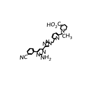 CC(c1cccc(Cn2cc(-c3cc(-c4cccc(C#N)c4)nc(N)n3)nn2)n1)N1CCC[C@H](C(=O)O)C1